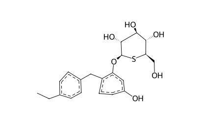 CCc1ccc(Cc2ccc(O)cc2O[C@@H]2S[C@H](CO)[C@@H](O)[C@H](O)[C@H]2O)cc1